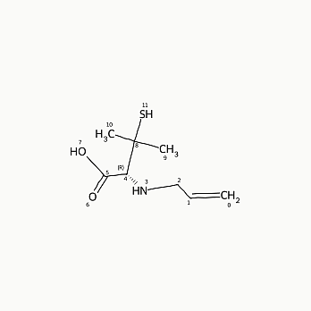 C=CCN[C@H](C(=O)O)C(C)(C)S